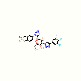 O=S1(=O)Cc2ccc(-n3cnnc3[C@@H]3O[C@H](CO)[C@H](O)[C@H](n4cc(-c5cc(F)c(F)c(F)c5)nn4)[C@H]3O)cc2C1